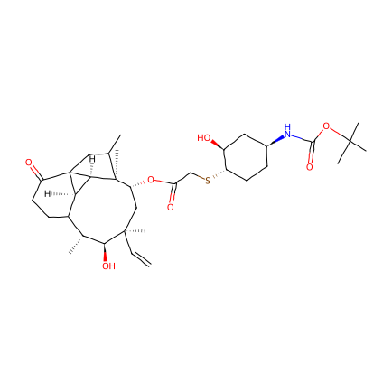 C=C[C@]1(C)C[C@@H](OC(=O)CS[C@H]2CC[C@H](NC(=O)OC(C)(C)C)C[C@@H]2O)[C@]2(C)C(C)CC34C(=O)CCC([C@@H](C)[C@@H]1O)[C@@H]3[C@@H]42